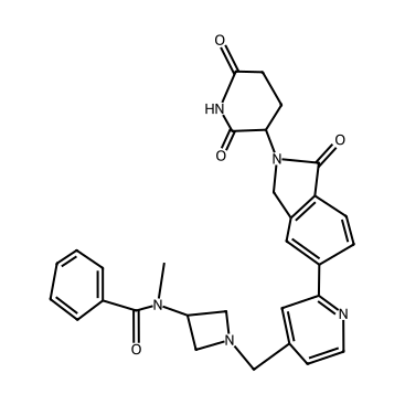 CN(C(=O)c1ccccc1)C1CN(Cc2ccnc(-c3ccc4c(c3)CN(C3CCC(=O)NC3=O)C4=O)c2)C1